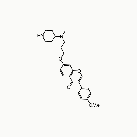 COc1ccc(-c2coc3cc(OCCCN(C)C4CCNCC4)ccc3c2=O)cc1